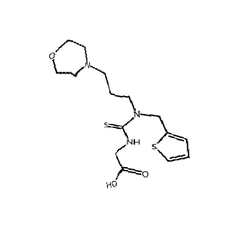 O=C(O)CNC(=S)N(CCCN1CCOCC1)Cc1cccs1